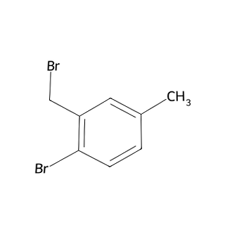 Cc1ccc(Br)c(CBr)c1